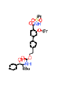 CC(C)Oc1cc(-c2ccc(CCOC(=O)NC([C@H](O)c3ccccc3)C(C)(C)C)cc2)ccc1C(=O)NS(=O)(=O)C(C)C